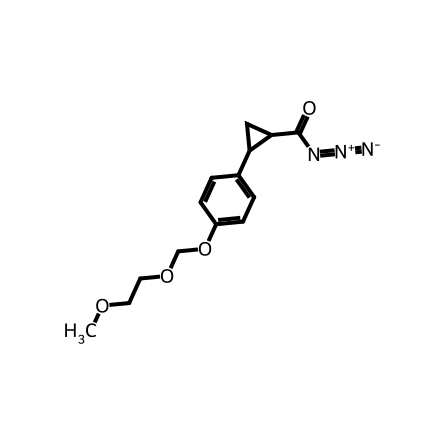 COCCOCOc1ccc(C2CC2C(=O)N=[N+]=[N-])cc1